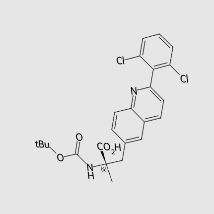 CC(C)(C)OC(=O)N[C@@](C)(Cc1ccc2nc(-c3c(Cl)cccc3Cl)ccc2c1)C(=O)O